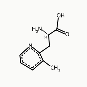 Cc1cccnc1C[C@H](N)C(=O)O